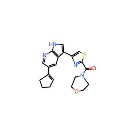 O=C(c1nc(-c2c[nH]c3ncc(C4=CCCC4)cc23)cs1)N1CCOCC1